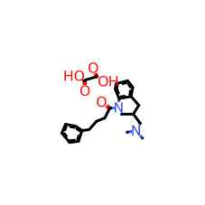 CN(C)CC1Cc2ccccc2N(C(=O)CCCc2ccccc2)C1.O=C(O)C(=O)O